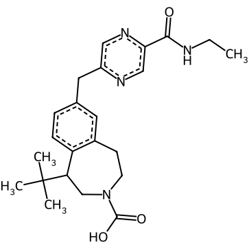 CCNC(=O)c1cnc(Cc2ccc3c(c2)CCN(C(=O)O)CC3C(C)(C)C)cn1